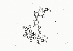 C=N/C=N\c1c(C)ncn1[C@H]1CC(OCSSC(C)(C)C)[C@@H](COP(=O)(O)OP(=O)(O)OP(=O)(O)O)O1